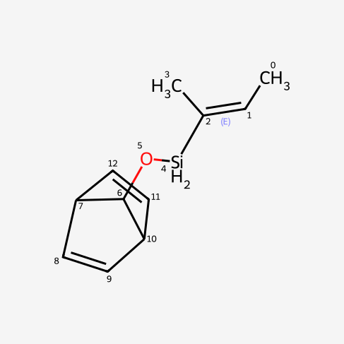 C/C=C(\C)[SiH2]OC1C2C=CC1C=C2